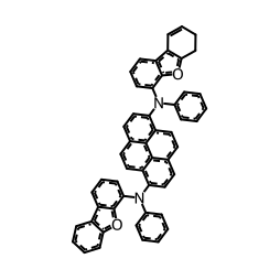 C1=Cc2c(oc3c(N(c4ccccc4)c4ccc5ccc6c(N(c7ccccc7)c7cccc8c7oc7ccccc78)ccc7ccc4c5c76)cccc23)CC1